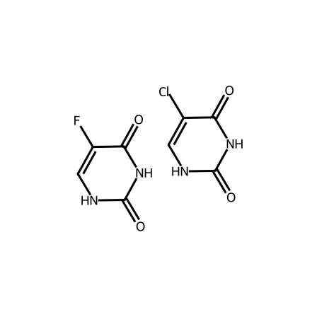 O=c1[nH]cc(Cl)c(=O)[nH]1.O=c1[nH]cc(F)c(=O)[nH]1